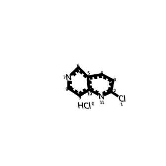 Cl.Clc1ccc2cnccc2n1